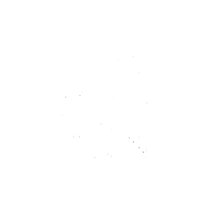 CC12C3=C(CCC4c5ccccc5OC34)N(N)C1C=Cc1oc3ccccc3c12